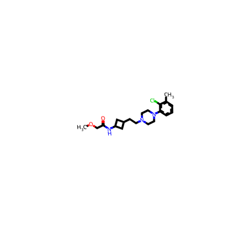 COCC(=O)NC1CC(CCN2CCN(c3cccc(C)c3Cl)CC2)C1